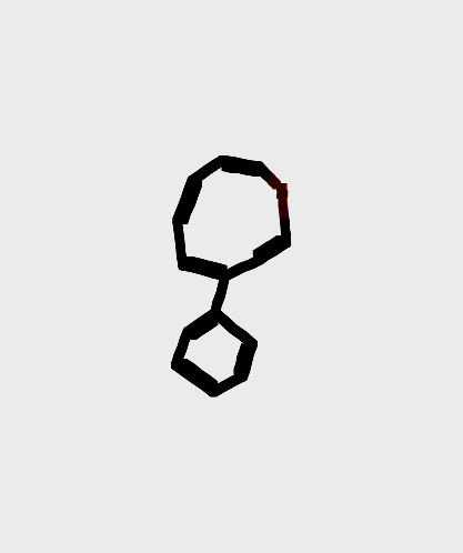 c1ccc(-c2cccccscc2)cc1